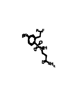 NC(=O)CCNS(=O)(=O)c1ccc(Br)cc1CC(F)F